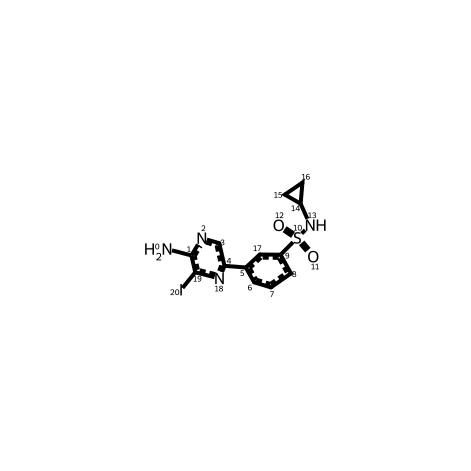 Nc1ncc(-c2cccc(S(=O)(=O)NC3CC3)c2)nc1I